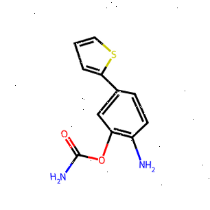 NC(=O)Oc1cc(-c2cccs2)ccc1N